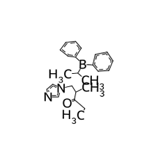 CC(C)B(c1ccccc1)c1ccccc1.CCC(=O)C(C)Cn1ccnc1